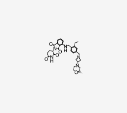 CCc1cc(CN2CC(N3CCO[C@@H](C)C3)C2)ccc1CNc1cccc2c1C(=O)N(C1CCC(=O)NC1=O)C2=O